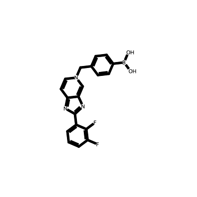 OB(O)c1ccc(Cn2ccc3nc(-c4cccc(F)c4F)nc-3c2)cc1